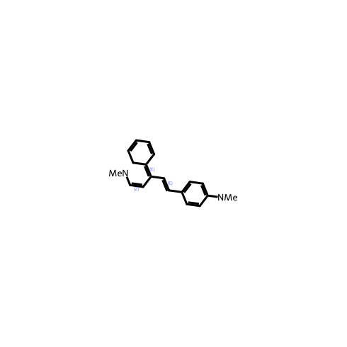 CN\C=C/C(/C=C/c1ccc(NC)cc1)=C1/C=CC=CC1